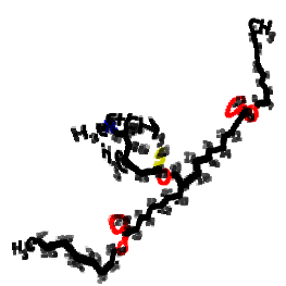 CCCCCC/C=C\COC(=O)CCCCCCCC(CCCCCCCC(=O)OC/C=C\CCCCCC)COC(=S)CC(C)CC(C)CN(C)C